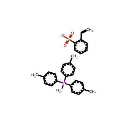 C=Cc1ccccc1S(=O)(=O)[O-].Cc1ccc([P+](C)(c2ccc(C)cc2)c2ccc(C)cc2)cc1